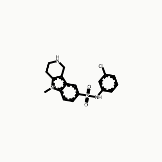 Cn1c2c(c3cc(S(=O)(=O)Nc4cccc(Cl)c4)ccc31)CNCC2